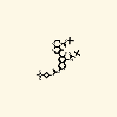 Cc1c(-c2cc3cc(NC(=O)OC4CC(S(C)(=O)=O)C4)ncc3c(NC(=O)OC(C)(C)C)c2F)cnc2c1N(C(=O)OC(C)(C)C)CCO2